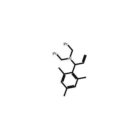 C=C[CH](c1c(C)cc(C)cc1C)[Al]([CH2]C(C)C)[CH2]C(C)C